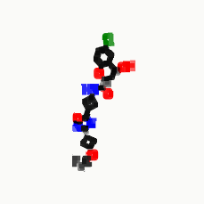 O=C(NC12CC(c3nc([C@H]4C[C@@H](OC(F)(F)F)C4)no3)(C1)C2)[C@H]1C[C@@H](O)c2cc(Cl)ccc2O1